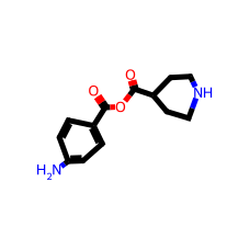 Nc1ccc(C(=O)OC(=O)C2CCNCC2)cc1